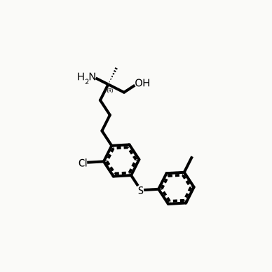 Cc1cccc(Sc2ccc(CCC[C@@](C)(N)CO)c(Cl)c2)c1